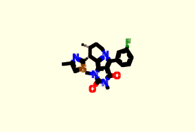 Cc1csc([C@H]2c3c4c(c(-c5cccc(F)c5)n3CC[C@H]2C)c(=O)n(C)c(=O)n4C)n1